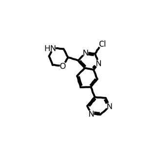 Clc1nc(C2CNCCO2)c2ccc(-c3cncnc3)cc2n1